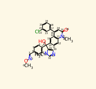 CO/N=C/c1ccc(C(O)(c2ccc3c(c2)c(-c2cccc(Cl)c2)cc(=O)n3C)c2cncn2C)cc1